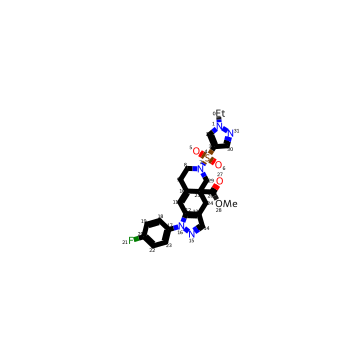 CCn1cc(S(=O)(=O)N2CCC3=Cc4c(cnn4-c4ccc(F)cc4)CC3(C(=O)OC)C2)cn1